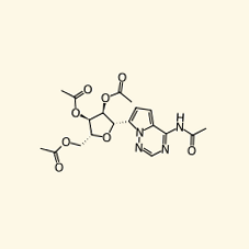 CC(=O)Nc1ncnn2c([C@@H]3O[C@H](COC(C)=O)[C@@H](OC(C)=O)[C@H]3OC(C)=O)ccc12